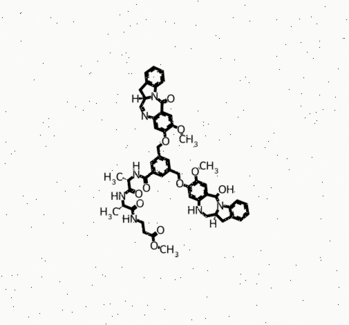 COC(=O)CCNC(=O)[C@H](C)NC(=O)[C@H](C)NC(=O)c1cc(COc2cc3c(cc2OC)C(=O)N2c4ccccc4C[C@H]2C=N3)cc(COc2cc3c(cc2OC)C(O)N2c4ccccc4C[C@H]2CN3)c1